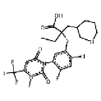 CCC(CC1CCCOC1)(Sc1cc(-n2c(=O)cc(C(F)(F)F)n(C)c2=O)c(F)cc1Cl)C(=O)O